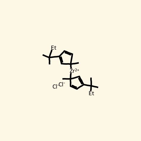 CCC(C)(C)C1=C[C](C)([Zr+2][C]2(C)C=CC(C(C)(C)CC)=C2)C=C1.[Cl-].[Cl-]